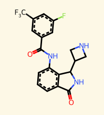 O=C(Nc1cccc2c1C(C1CNC1)NC2=O)c1cc(F)cc(C(F)(F)F)c1